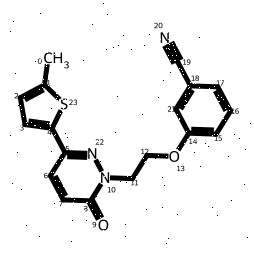 Cc1ccc(-c2ccc(=O)n(CCOc3cccc(C#N)c3)n2)s1